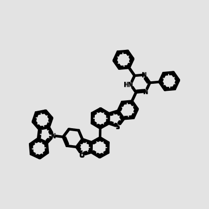 C1=C(n2c3ccccc3c3ccccc32)CCc2c1oc1cccc(-c3cccc4c3sc3ccc(C5=NC(c6ccccc6)=NC(c6ccccc6)N5)cc34)c21